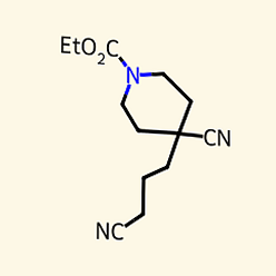 CCOC(=O)N1CCC(C#N)(CCCC#N)CC1